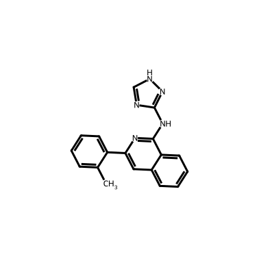 Cc1ccccc1-c1cc2ccccc2c(Nc2nc[nH]n2)n1